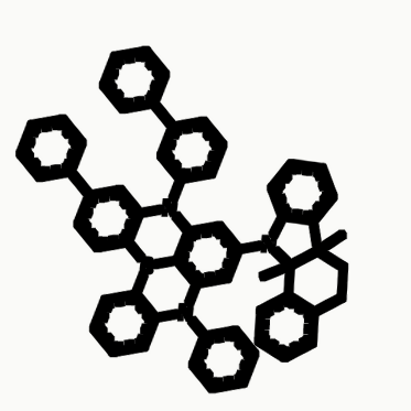 CC12CCc3ccccc3C1(C)N(c1cc3c4c(c1)N(c1cccc(-c5ccccc5)c1)c1cc(-c5ccccc5)ccc1B4c1ccccc1N3c1ccccc1)c1ccccc12